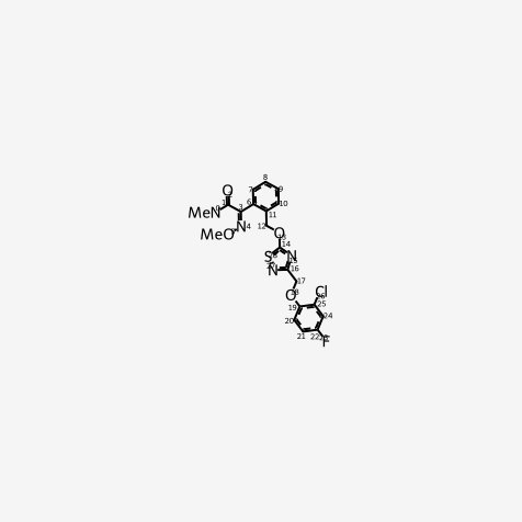 CNC(=O)C(=NOC)c1ccccc1COc1nc(COc2ccc(F)cc2Cl)ns1